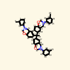 Cc1cccc(N2COc3ccc(C(C)(c4ccc5c(c4)CN(c4cccc(C)c4)CO5)c4ccc5c(c4)CN(c4cccc(C)c4)CO5)cc3C2)c1